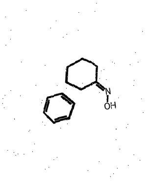 ON=C1CCCCC1.c1ccccc1